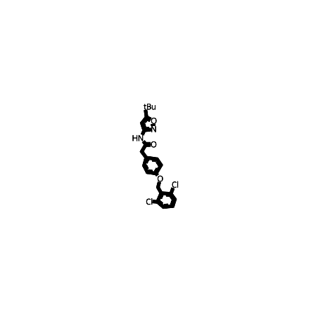 CC(C)(C)c1cc(NC(=O)Cc2ccc(OCc3c(Cl)cccc3Cl)cc2)no1